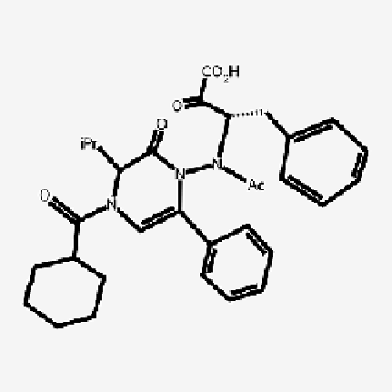 CC(=O)N([C@@H](Cc1ccccc1)C(=O)C(=O)O)N1C(=O)C(C(C)C)N(C(=O)C2CCCCC2)C=C1c1ccccc1